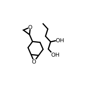 C1CC2OC2CC1C1CO1.CCCC(O)CO